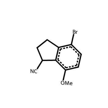 COc1ccc(Br)c2c1C(C#N)CC2